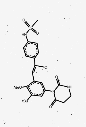 COc1c(/C=C(\Cl)c2ccc(NS(C)(=O)=O)cc2)cc(N2C(=O)CCNC2=O)cc1C(C)(C)C